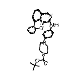 CC(C)(C)OC(=O)N1CCN(c2ccc(Nc3ncc4cccc(-c5ccccc5Cl)c4n3)cc2)CC1